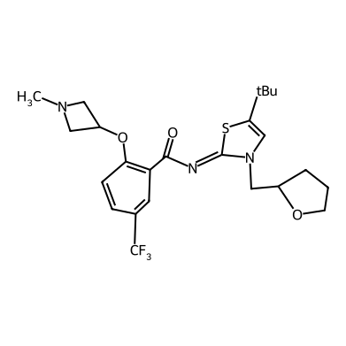 CN1CC(Oc2ccc(C(F)(F)F)cc2C(=O)N=c2sc(C(C)(C)C)cn2CC2CCCO2)C1